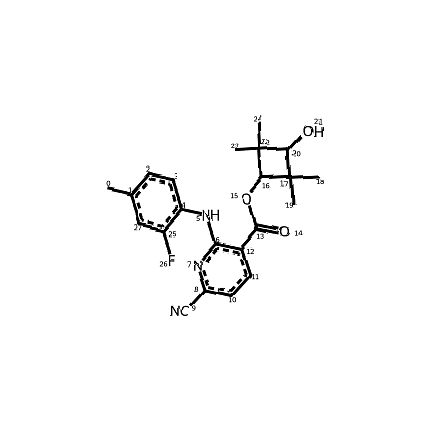 Cc1ccc(Nc2nc(C#N)ccc2C(=O)OC2C(C)(C)C(O)C2(C)C)c(F)c1